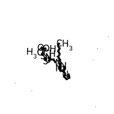 CCCCCCCN(CCc1csc(SC(C)(C)C(=O)O)n1)c1ncc(N2CCCC2)cn1